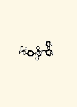 O=C1CN(Cc2ccncc2-n2cccn2)C(=O)N1c1ccc(OC(F)(F)F)cc1